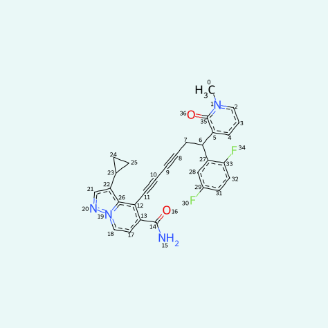 Cn1cccc(C(CC#CC#Cc2c(C(N)=O)ccn3ncc(C4CC4)c23)c2cc(F)ccc2F)c1=O